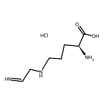 Cl.N=CCNCCC[C@H](N)C(=O)O